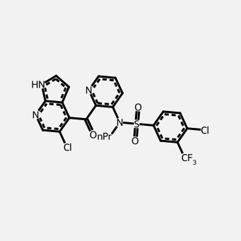 CCCN(c1cccnc1C(=O)c1c(Cl)cnc2[nH]ccc12)S(=O)(=O)c1ccc(Cl)c(C(F)(F)F)c1